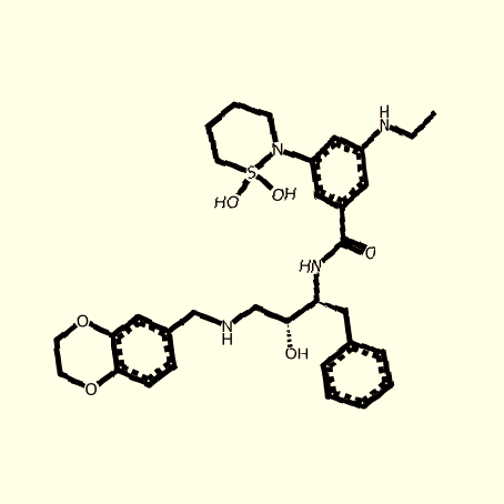 CCNc1cc(C(=O)N[C@@H](Cc2ccccc2)[C@H](O)CNCc2ccc3c(c2)OCCO3)cc(N2CCCCS2(O)O)c1